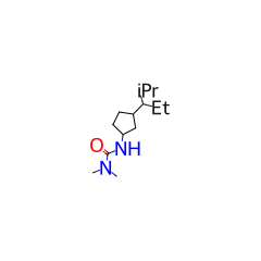 CCC(C(C)C)C1CCC(NC(=O)N(C)C)C1